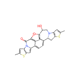 Cc1cc2c(s1)CC1c3ccc4c5c3c(oc5c(=O)n3c5cc(C)sc5cc43)C(O)CN21